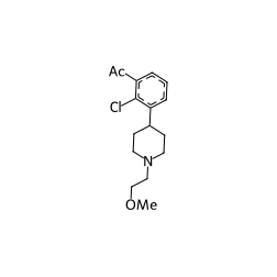 COCCN1CCC(c2cccc(C(C)=O)c2Cl)CC1